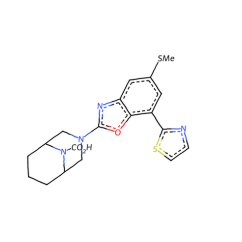 CSc1cc(-c2nccs2)c2oc(N3CC4CCCC(C3)N4C(=O)O)nc2c1